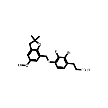 CCOc1cc(COc2ccc(CCC(=O)O)c(CC)c2F)c2c(c1)CC(C)(C)O2